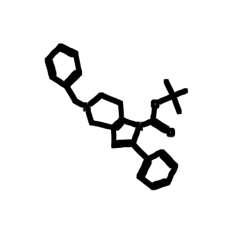 CC(C)(C)OC(=O)n1c(-c2ccccc2)cc2c1CCN(Cc1ccccc1)C2